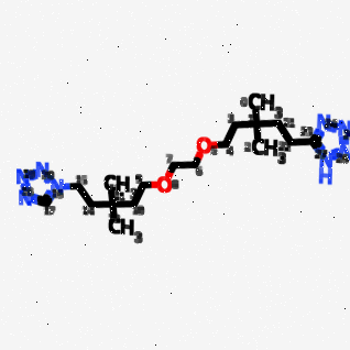 CC(C)(CCOCCOCCC(C)(C)CCn1cnnn1)CCc1nnn[nH]1